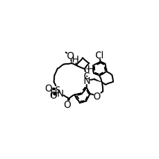 CO[C@@H]1CCCCS(=O)(=O)NC(=O)c2ccc3c(c2)N(C[C@@H]2CC[C@H]21)C[C@@]1(CCCc2cc(Cl)ccc21)CO3